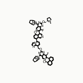 CN1CCC[C@H]1COc1nc(N2CC3CCC(C2)N3)c2cnc(-c3cncc4c(-c5ccc(COc6nc(N7CC8CCC(C7)N8)c7cnc(-c8cccc9cccc(Cl)c89)c(F)c7n6)c6nccn56)ccc(Cl)c34)c(F)c2n1